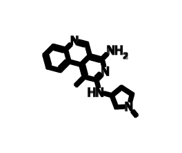 Cc1c(NC2CCN(C)C2)nc(N)c2cnc3ccccc3c12